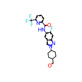 O=CC1CCC(n2cc3cc(NC(=O)c4cccc(C(F)(F)F)n4)c(F)cc3n2)CC1